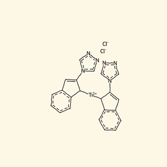 C1=C(n2cnnc2)[CH]([Ti+2][CH]2C(n3cnnc3)=Cc3ccccc32)c2ccccc21.[Cl-].[Cl-]